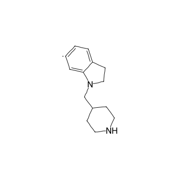 [c]1ccc2c(c1)N(CC1CCNCC1)CC2